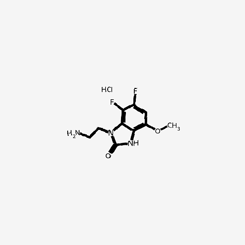 COc1cc(F)c(F)c2c1[nH]c(=O)n2CCN.Cl